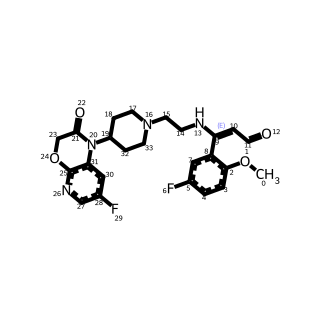 COc1ccc(F)cc1/C(=C\C=O)NCCN1CCC(N2C(=O)COc3ncc(F)cc32)CC1